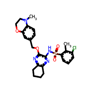 Cc1c(Cl)cccc1S(=O)(=O)Nc1nc2c(nc1OCc1ccc3c(c1)OCCN3C)CCCC2